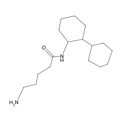 NCCCCC(=O)NC1CCCCC1C1CCCCC1